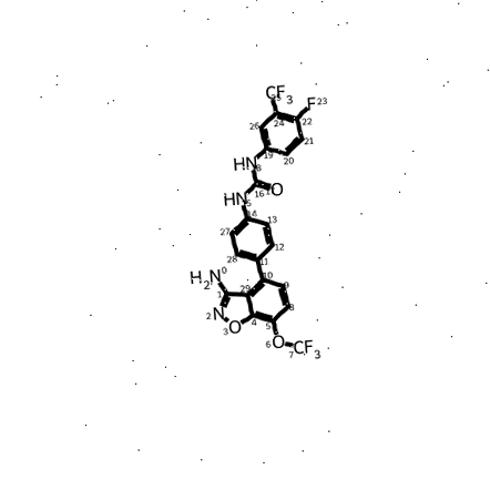 Nc1noc2c(OC(F)(F)F)ccc(-c3ccc(NC(=O)Nc4ccc(F)c(C(F)(F)F)c4)cc3)c12